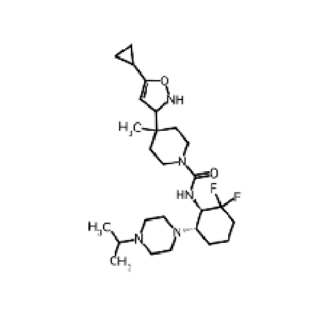 CC(C)N1CCN([C@H]2CCCC(F)(F)[C@@H]2NC(=O)N2CCC(C)(C3C=C(C4CC4)ON3)CC2)CC1